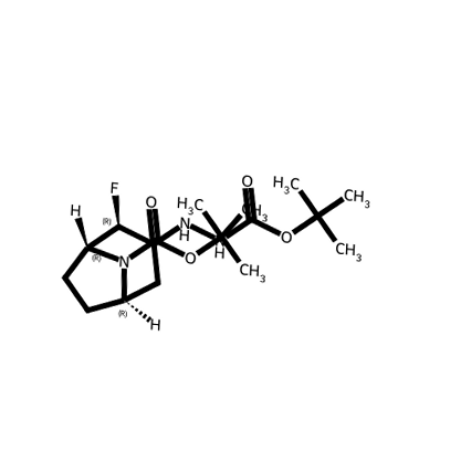 CC(C)(C)OC(=O)NNC1C[C@H]2CC[C@H]([C@H]1F)N2C(=O)OC(C)(C)C